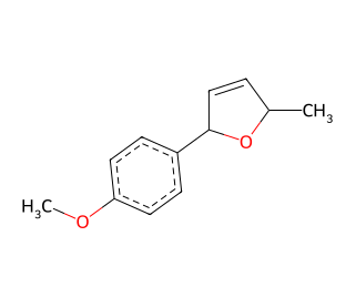 COc1ccc(C2C=CC(C)O2)cc1